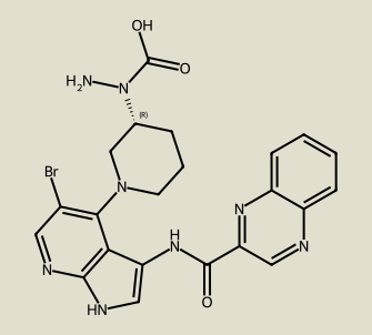 NN(C(=O)O)[C@@H]1CCCN(c2c(Br)cnc3[nH]cc(NC(=O)c4cnc5ccccc5n4)c23)C1